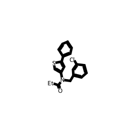 CCC(=O)N(Cc1cccc(Cl)c1)c1csc(-c2ccccc2)c1